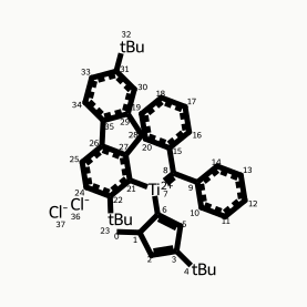 CC1C=C(C(C)(C)C)C=[C]1[Ti+2](=[C](c1ccccc1)c1ccccc1)[c]1c(C(C)(C)C)ccc2c1Cc1cc(C(C)(C)C)ccc1-2.[Cl-].[Cl-]